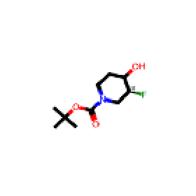 CC(C)(C)OC(=O)N1CCC(O)[C@@H](F)C1